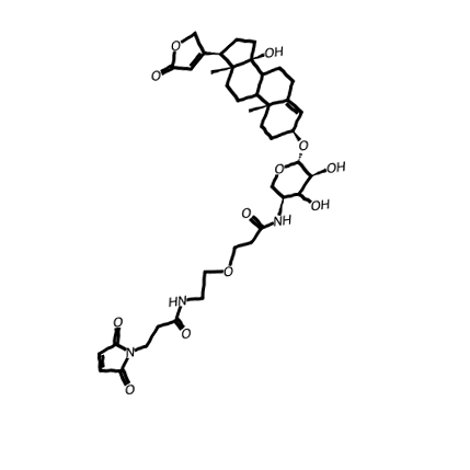 C[C@]12CC[C@H](O[C@H]3OC[C@H](NC(=O)CCOCCNC(=O)CCN4C(=O)C=CC4=O)C(O)[C@@H]3O)C=C1CCC1C2CC[C@]2(C)[C@@H](C3=CC(=O)OC3)CC[C@]12O